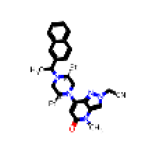 CC[C@H]1CN(C(C)c2ccc3ccccc3c2)[C@H](CC)CN1c1cc(=O)n(C)c2cn(CC#N)nc12